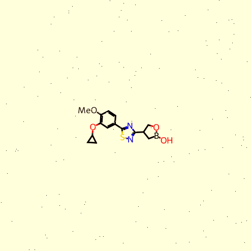 COc1ccc(-c2nc(C3COB(O)C3)ns2)cc1OC1CC1